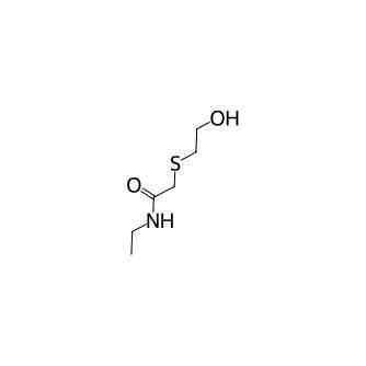 CCNC(=O)CSCCO